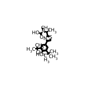 CC(c1nc(-c2cc(C(C)(C)C)c(O)c(C(C)(C)C)c2)cs1)N(C)C(=O)O